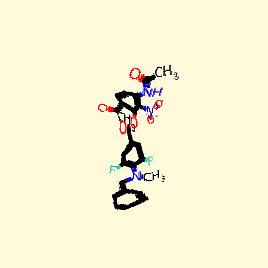 CC(=O)Nc1ccc(C(C)=O)c(OC(=O)c2cc(F)c(N(C)Cc3ccccc3)c(F)c2)c1[N+](=O)[O-]